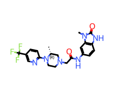 C[C@@H]1CN(CC(=O)Nc2ccc3[nH]c(=O)n(C)c3c2)CCN1c1ccc(C(F)(F)F)cn1